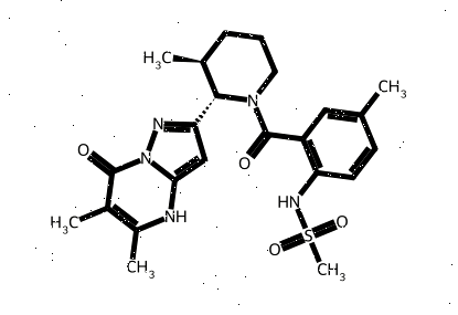 Cc1ccc(NS(C)(=O)=O)c(C(=O)N2CCC[C@H](C)[C@H]2c2cc3[nH]c(C)c(C)c(=O)n3n2)c1